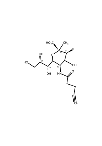 C#CCCC(=O)N[C@H]1C([C@H](O)[C@H](O)CO)O[C@@](C)(C(=O)O)[C@@H](F)C1O